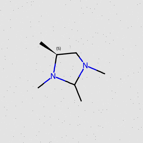 CC1N(C)C[C@H](C)N1C